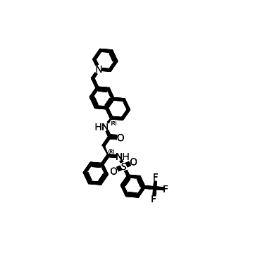 O=C(C[C@@H](NS(=O)(=O)c1cccc(C(F)(F)F)c1)c1ccccc1)N[C@@H]1CCCc2cc(CN3CC=CCC3)ccc21